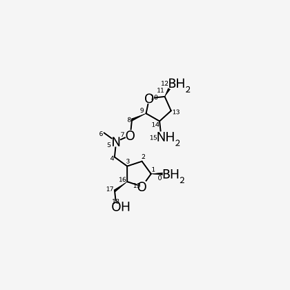 B[C@@H]1CC(CN(C)OC[C@H]2O[C@@H](B)CC2N)[C@H](CO)O1